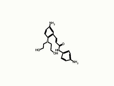 Nc1ccc(NC(=O)C=Cc2cc(N)ccc2N(CCO)CCO)cc1